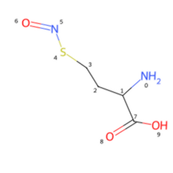 NC(CCSN=O)C(=O)O